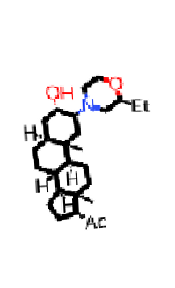 CC[C@H]1CN([C@H]2C[C@@]3(C)[C@@H](CC[C@@H]4[C@@H]3CC[C@]3(C)[C@@H](C(C)=O)CC[C@@H]43)C[C@@H]2O)CCO1